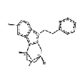 Cc1ccc2c(c1)c1c(n2CCc2ccccn2)C[C@@H]2CC[C@H]1N2C